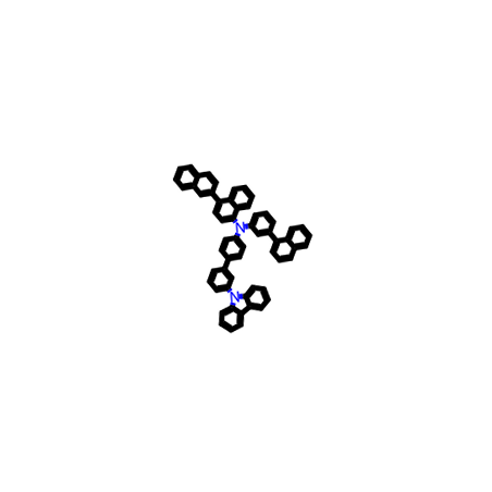 c1cc(-c2cccc3ccccc23)cc(N(c2ccc(-c3cccc(-n4c5ccccc5c5ccccc54)c3)cc2)c2ccc(-c3ccc4ccccc4c3)c3ccccc23)c1